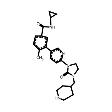 Cc1ccc(C(=O)NC2CC2)cc1-c1ccc(N2CCN(CC3CCNCC3)C2=O)nc1